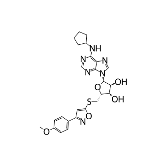 COc1ccc(-c2cc(SC[C@@H]3O[C@@H](n4cnc5c(NC6CCCC6)ncnc54)[C@@H](O)[C@H]3O)on2)cc1